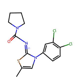 Cc1cn(-c2ccc(Cl)c(Cl)c2)/c(=N/C(=O)N2CCCC2)s1